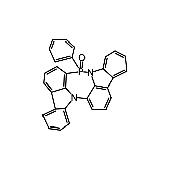 O=P1(c2ccccc2)c2cccc3c4ccccc4n(c23)-c2cccc3c4ccccc4n1c23